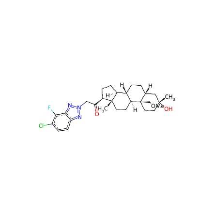 COC[C@]12CC[C@@](C)(O)C[C@H]1CC[C@H]1[C@@H]3CC[C@H](C(=O)Cn4nc5ccc(Cl)c(F)c5n4)[C@@]3(C)CC[C@@H]12